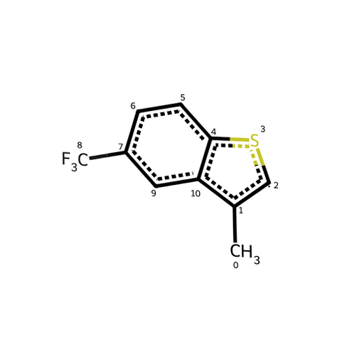 Cc1[c]sc2ccc(C(F)(F)F)cc12